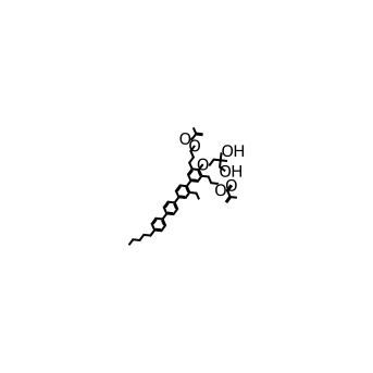 C=C(C)C(=O)OCCCc1cc(-c2ccc(-c3ccc(-c4ccc(CCCCC)cc4)cc3)cc2CC)cc(CCCOC(=O)C(=C)C)c1OCCC(C)(CO)CO